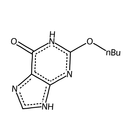 CCCCOc1nc2[nH]cnc2c(=O)[nH]1